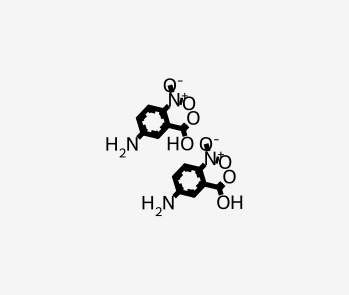 Nc1ccc([N+](=O)[O-])c(C(=O)O)c1.Nc1ccc([N+](=O)[O-])c(C(=O)O)c1